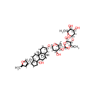 C=C1C=C([C@H]2CC[C@]3(O)C4CC[C@@H]5C[C@@H](O[C@H]6C[C@H](O)[C@H](O[C@@H]7O[C@H](C)[C@@H](O[C@H]8C[C@H](O)[C@H](O)[C@@H](C)O8)[C@@H](O)O7)[C@@H](C)O6)CC[C@]5(C)[C@H]4CC[C@]23C)CO1